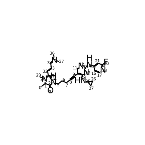 CC(C(=O)NCCCC#Cc1cnc(Nc2ccnc(F)c2)nc1NC1CC1)N(C)C(=O)C=CCN(C)C